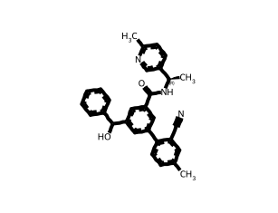 Cc1ccc(-c2cc(C(=O)N[C@H](C)c3ccc(C)nc3)cc(C(O)c3ccccc3)c2)c(C#N)c1